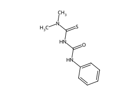 CN(C)C(=S)NC(=O)Nc1ccccc1